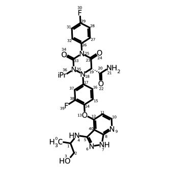 CC(CO)Nc1n[nH]c2nccc(Oc3ccc(N4[C@@H](C(N)=O)C(=O)N(c5ccc(F)cc5)C(=O)N4C(C)C)cc3F)c12